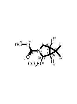 CCOC(=O)[C@@H]1[C@@H]2[C@H](CN1C(=O)OC(C)(C)C)C2(C)C